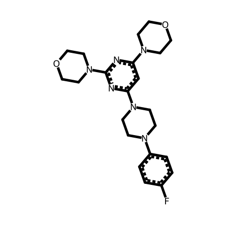 Fc1ccc(N2CCN(c3cc(N4CCOCC4)nc(N4CCOCC4)n3)CC2)cc1